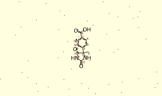 CC1(c2ccc(C(=O)O)nc2)NC(=O)NC1=O